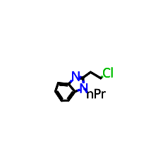 CCCn1c(CCCl)nc2ccccc21